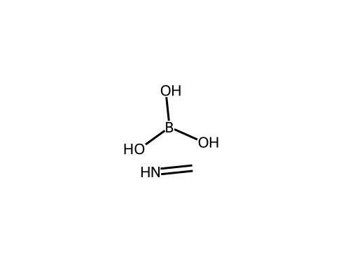 C=N.OB(O)O